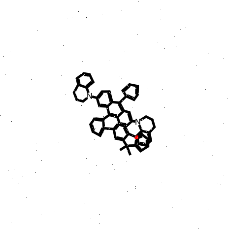 CC1(C)c2ccccc2-c2ccc(-c3ccccc3-c3c4ccc(N5CCCc6ccccc65)cc4c(-c4ccccc4)c4ccc(N5CCCc6ccccc65)cc34)cc21